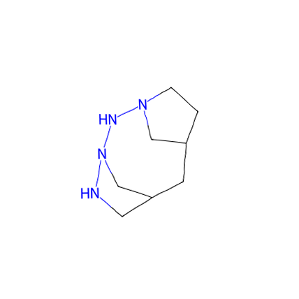 C1CN2CC1CC1CNN(C1)N2